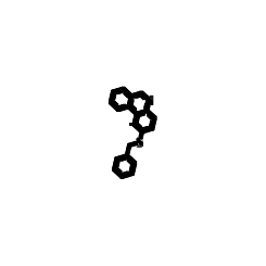 [c]1c(SCc2ccccc2)ccc2ncc3ccccc3c12